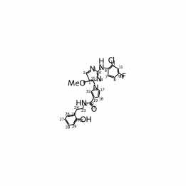 COc1cnc(Nc2ccc(F)cc2Cl)nc1-n1ccc(C(=O)NCCc2ccccc2O)c1